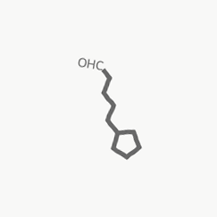 O=CCCCCC1CCCC1